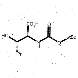 CC(C)[C@H](O)[C@H](NC(=O)OC(C)(C)C)C(=O)O